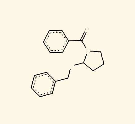 O=C(c1ccccc1)N1CCCC1OCc1ccccc1